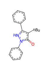 CCCCc1c(-c2ccccc2)[nH]n(-c2ccccc2)c1=O